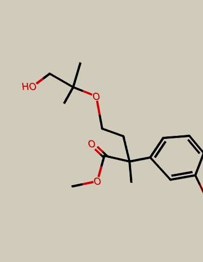 COC(=O)C(C)(CCOC(C)(C)CO)c1cccc(Br)c1